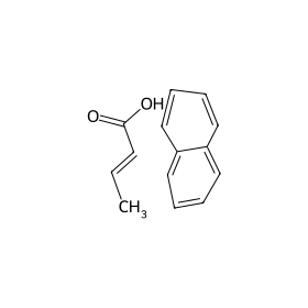 CC=CC(=O)O.c1ccc2ccccc2c1